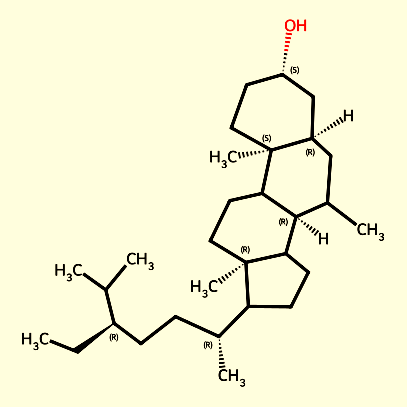 CC[C@H](CC[C@@H](C)C1CCC2[C@@H]3C(C)C[C@@H]4C[C@@H](O)CC[C@]4(C)C3CC[C@@]21C)C(C)C